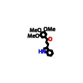 COc1cc(C(=O)C=Cc2c[nH]c3ccccc23)cc(OC)c1OC